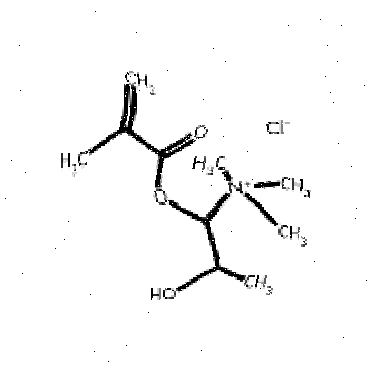 C=C(C)C(=O)OC(C(C)O)[N+](C)(C)C.[Cl-]